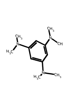 CN(C)c1cc(N(C)C)cc(N(C)C)c1